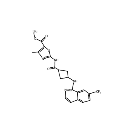 Cc1nc(NC(=O)C2CC(Nc3nccc4ccc(C(F)(F)F)cc34)C2)sc1C(=O)OC(C)(C)C